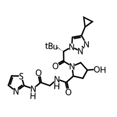 CC(C)(C)[C@@H](C(=O)N1CC(O)CC1C(=O)NCC(=O)Nc1nccs1)n1cc(C2CC2)nn1